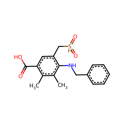 Cc1c(C(=O)O)cc(C[SH](=O)=O)c(NCc2ccccc2)c1C